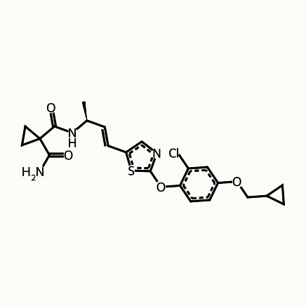 C[C@@H](/C=C/c1cnc(Oc2ccc(OCC3CC3)cc2Cl)s1)NC(=O)C1(C(N)=O)CC1